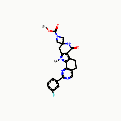 Cn1c2c(c3c1-c1nc(-c4cccc(F)c4)ncc1CC3)C(=O)NC1(C2)CN(C(=O)OC(C)(C)C)C1